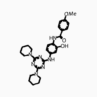 COc1ccc(C(=O)Nc2ccc(Nc3nc(N4CCCCC4)nc(N4CCCCC4)n3)cc2O)cc1